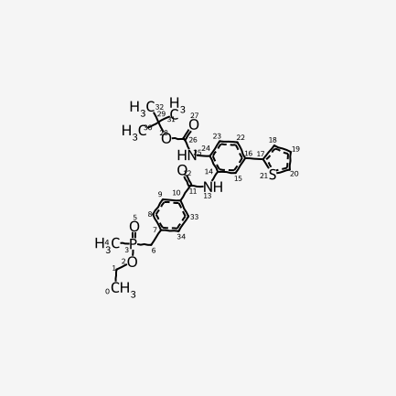 CCOP(C)(=O)Cc1ccc(C(=O)Nc2cc(-c3cccs3)ccc2NC(=O)OC(C)(C)C)cc1